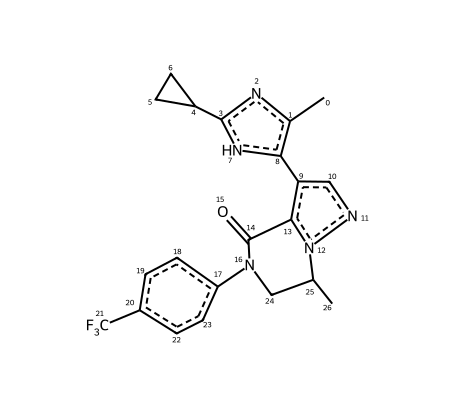 Cc1nc(C2CC2)[nH]c1-c1cnn2c1C(=O)N(c1ccc(C(F)(F)F)cc1)CC2C